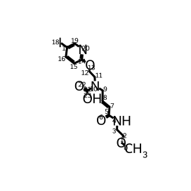 COCCNC(=O)/C=C/CN(CCOc1ccc(I)cn1)C(=O)O